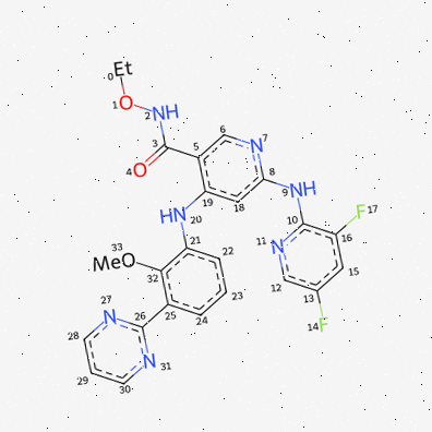 CCONC(=O)c1cnc(Nc2ncc(F)cc2F)cc1Nc1cccc(-c2ncccn2)c1OC